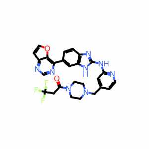 O=C(CC(F)(F)F)N1CCN(Cc2ccnc(Nc3nc4ccc(-c5ncnc6ccoc56)cc4[nH]3)c2)CC1